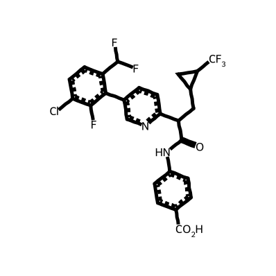 O=C(O)c1ccc(NC(=O)C(CC2CC2C(F)(F)F)c2ccc(-c3c(C(F)F)ccc(Cl)c3F)cn2)cc1